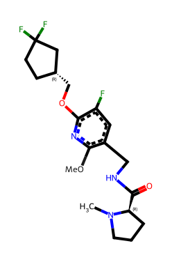 COc1nc(OC[C@@H]2CCC(F)(F)C2)c(F)cc1CNC(=O)[C@H]1CCCN1C